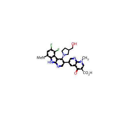 CNc1cc(F)c(F)c2c1[nH]c1ncc(-c3cnc4c(c3)c(=O)c(C(=O)O)cn4C)c(N3CCC(CO)C3)c12